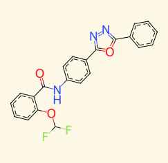 O=C(Nc1ccc(-c2nnc(-c3ccccc3)o2)cc1)c1ccccc1OC(F)F